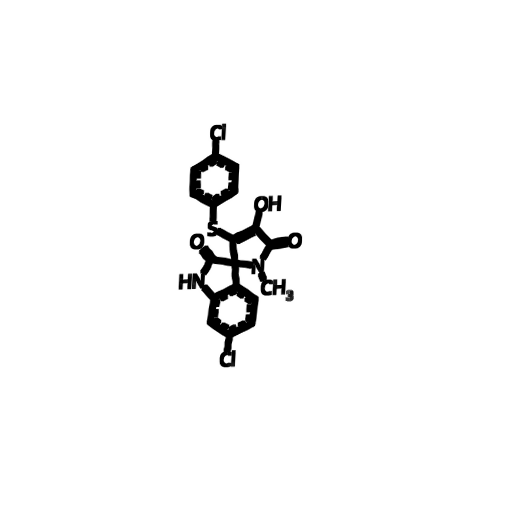 CN1C(=O)C(O)=C(Sc2ccc(Cl)cc2)C12C(=O)Nc1cc(Cl)ccc12